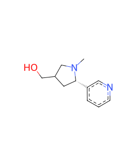 CN1CC(CO)C[C@H]1c1cccnc1